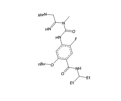 CCCCOc1cc(NC(=O)N(C)C(=N)CNC)c(F)cc1C(=O)NC(CC)CC